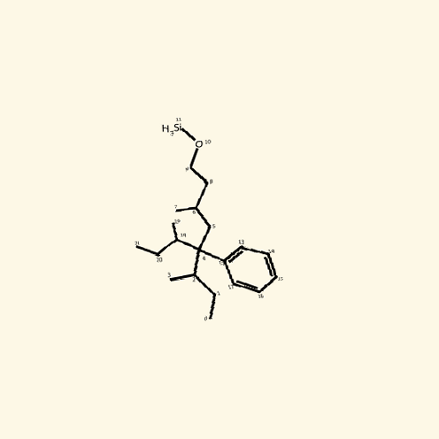 CCC(C)C(CC(C)CCO[SiH3])(c1ccccc1)C(C)CC